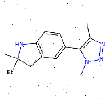 CCC1(C)Cc2cc(-c3c(C)nnn3C)ccc2N1